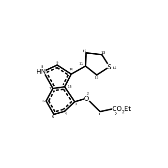 CCOC(=O)COc1cccc2[nH]cc(C3CCSC3)c12